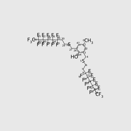 Cc1cc(CSCCC(F)(F)C(F)(F)C(F)(F)C(F)(F)C(F)(F)C(F)(F)F)c(O)c(CSCCC(F)(F)C(F)(F)C(F)(F)C(F)(F)C(F)(F)C(F)(F)F)c1